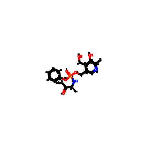 COC(=O)[C@H](C)NP(=O)(OCc1cnc(C)c(O)c1CO)Oc1ccccc1